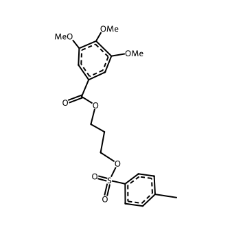 COc1cc(C(=O)OCCCOS(=O)(=O)c2ccc(C)cc2)cc(OC)c1OC